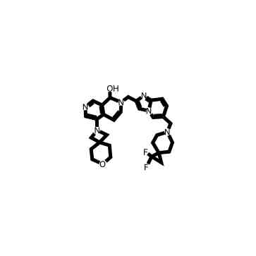 OC1c2cncc(N3CC4(CCOCC4)C3)c2C=CN1Cc1cn2cc(CN3CCC4(CC3)CC4(F)F)ccc2n1